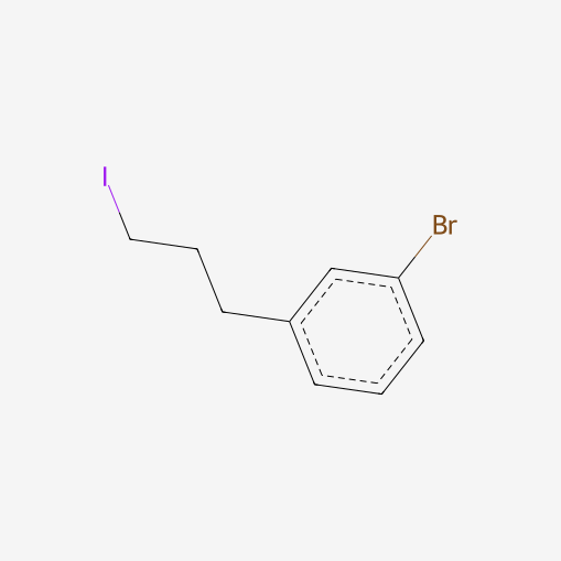 Brc1cccc(CCCI)c1